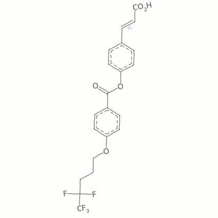 O=C(O)/C=C/c1ccc(OC(=O)c2ccc(OCCCC(F)(F)C(F)(F)F)cc2)cc1